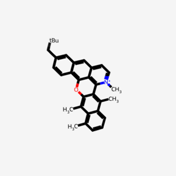 Cc1c2c(c(C)c3c(C)cccc13)Oc1c3ccc(CC(C)(C)C)cc3cc3cc[n+](C)c-2c13